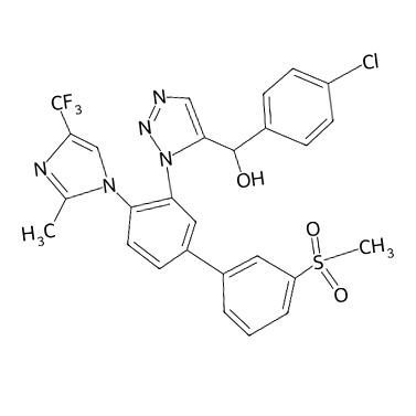 Cc1nc(C(F)(F)F)cn1-c1ccc(-c2cccc(S(C)(=O)=O)c2)cc1-n1nncc1C(O)c1ccc(Cl)cc1